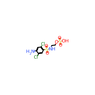 Nc1cc(Cl)c(S(=O)(=O)NCCOS(=O)(=O)O)cc1Cl